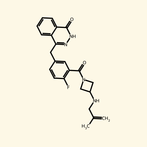 C=C(C)CNC1CN(C(=O)c2cc(Cc3n[nH]c(=O)c4ccccc34)ccc2F)C1